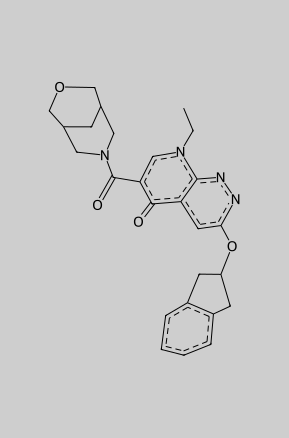 CCn1cc(C(=O)N2CC3COCC(C3)C2)c(=O)c2cc(OC3Cc4ccccc4C3)nnc21